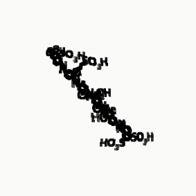 CCCCOc1cc(S(=O)(=O)O)c2cc(N=Nc3ccc(N=Nc4cc(OC)c(N=Nc5cc(OC)c(N=Nc6ccc7cc(-n8nc9ccc%10c(S(=O)(=O)O)cc(S(=O)(=O)O)cc%10c9n8)ccc7c6O)cc5CO)cc4C)c(OCCCCS(=O)(=O)O)c3)ccc2c1